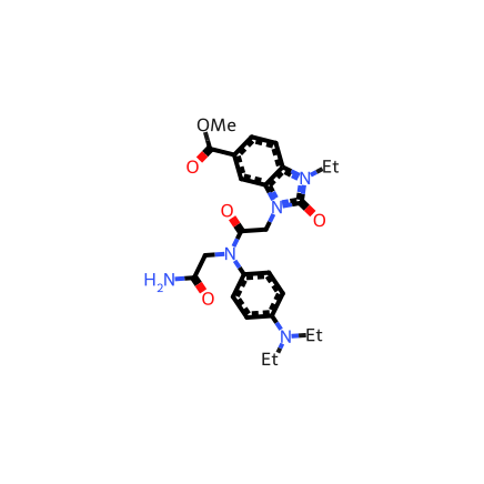 CCN(CC)c1ccc(N(CC(N)=O)C(=O)Cn2c(=O)n(CC)c3ccc(C(=O)OC)cc32)cc1